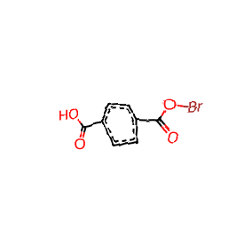 O=C(O)c1ccc(C(=O)OBr)cc1